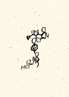 CCc1cc(OCC23CCC(OCc4c(-c5c(Cl)cncc5Cl)noc4C4CC4)(CC2)CC3)nn1CC(=O)O